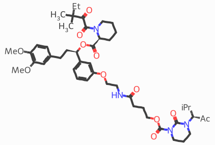 CCC(C)(C)C(=O)C(=O)N1CCCC[C@H]1C(=O)O[C@H](CCc1ccc(OC)c(OC)c1)c1cccc(OCCNC(=O)CCCOC(=O)N2CCCN([C@H](C(C)=O)C(C)C)C2=O)c1